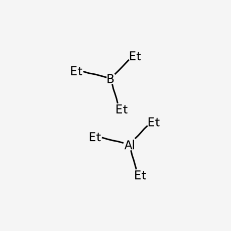 CCB(CC)CC.C[CH2][Al]([CH2]C)[CH2]C